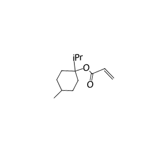 C=CC(=O)OC1(C(C)C)CCC(C)CC1